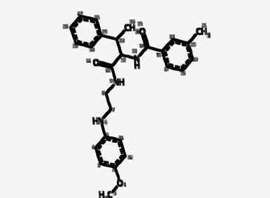 COc1ccc(NCCNC(=O)C(NC(=O)c2cccc(C)c2)C(C)c2ccccc2)cc1